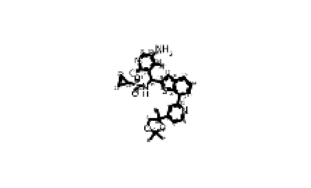 CC1(C)OCC(C)(c2ccnc(-c3cccc4cc(C(NS(=O)(=O)C5CC5)c5c(Cl)ncc(N)c5F)sc34)c2)O1